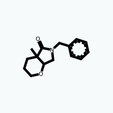 CC12CCCOC1CN(Cc1ccccc1)C2=O